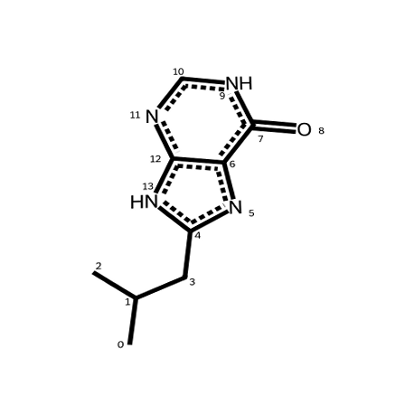 CC(C)Cc1nc2c(=O)[nH]cnc2[nH]1